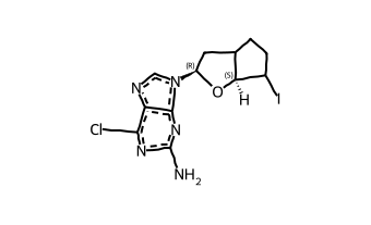 Nc1nc(Cl)c2ncn([C@H]3CC4CCC(I)[C@H]4O3)c2n1